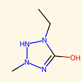 CCN1NN(C)N=C1O